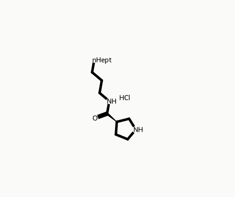 CCCCCCCCCCNC(=O)[C@@H]1CCNC1.Cl